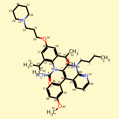 CCCCn1c(=O)c(N(C(N)=O)c2c(C(C)C)cc(OCCCN3CCCCC3)cc2C(C)C)c(-c2cccc(OC)c2)c2cccnc21